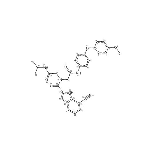 COc1ccc(Oc2ccc(NC(=O)CN(CC(=O)NC(C)C)C(=O)c3cc4cccc(C#N)c4[nH]3)cc2)cc1